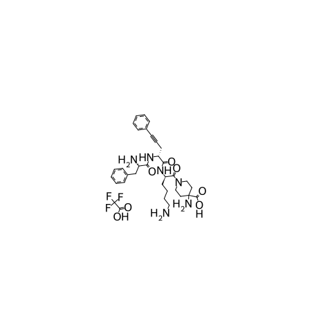 NCCCC[C@@H](NC(=O)[C@@H](CC#Cc1ccccc1)NC(=O)[C@H](N)Cc1ccccc1)C(=O)N1CCC(N)(C(=O)O)CC1.O=C(O)C(F)(F)F